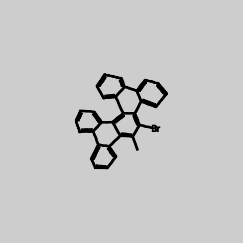 Cc1c(Br)c2c3ccccc3c3ccccc3c2c2c3ccccc3c3ccccc3c12